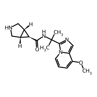 COc1cccn2c(C(C)(C)NC(=O)[C@H]3[C@@H]4CNC[C@@H]43)ncc12